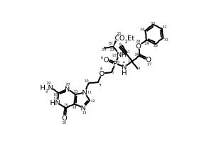 C#CC(C)(NP(=O)(COCCn1cnc2c(=O)[nH]c(N)nc21)N[C@@H](C)C(=O)OCC)C(=O)Oc1ccccc1